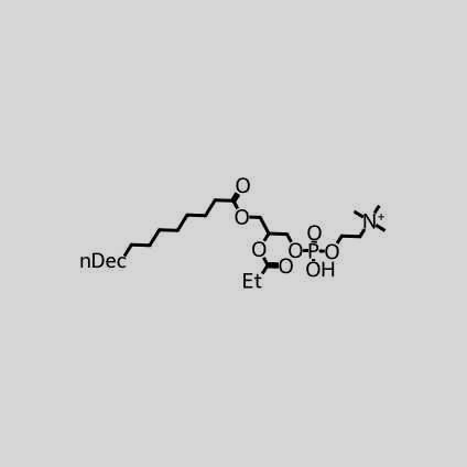 CCCCCCCCCCCCCCCCCC(=O)OCC(COP(=O)(O)OCC[N+](C)(C)C)OC(=O)CC